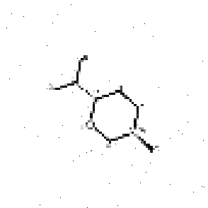 CC(C)[C@@H]1CC[C@@H](C)CO1